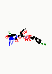 CC(=O)[C@]1(O)C[C@H](n2cc(F)c(=O)[nH]c2=O)O[C@@H]1COP(=O)(O)OCCCc1ccc(Cl)cc1